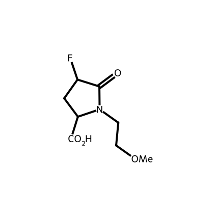 COCCN1C(=O)C(F)CC1C(=O)O